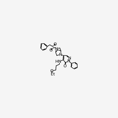 CCOCCCNc1c(N2CC3CC2CN3S(=O)(=O)Cc2ccccc2)cnn(-c2ccccc2)c1=O